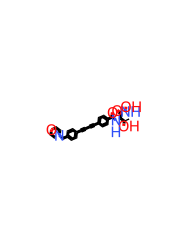 C[C@@H](O)[C@H](NC(=O)c1ccc(C#CC#Cc2ccc(CN3CCOCC3)cc2)cc1)C(=O)NO